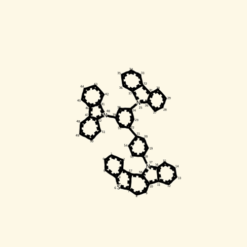 c1ccc2c(c1)sc1ccc3c4ccccc4n(-c4ccc(-c5cc(-n6c7ccccc7c7ccccc76)cc(-n6c7ccccc7c7ccccc76)c5)cc4)c3c12